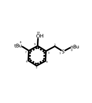 CCCCSCc1cccc(C(C)(C)C)c1O